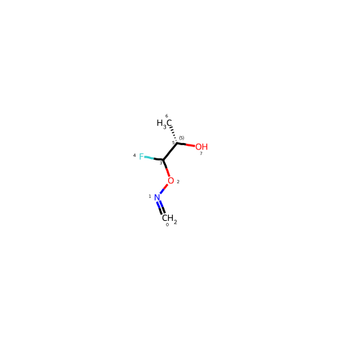 C=NOC(F)[C@H](C)O